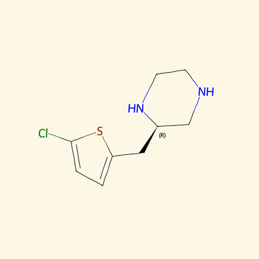 Clc1ccc(C[C@@H]2CNCCN2)s1